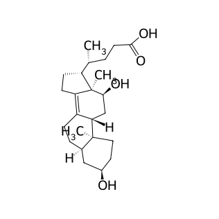 C[C@H](CCC(=O)O)[C@H]1CCC2=C3CC[C@@H]4C[C@H](O)CC[C@]4(C)[C@H]3C[C@H](O)[C@@]21C